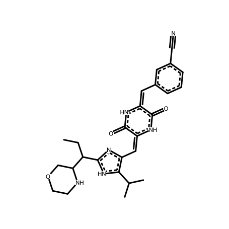 CCC(c1nc(C=c2[nH]c(=O)c(=Cc3cccc(C#N)c3)[nH]c2=O)c(C(C)C)[nH]1)C1COCCN1